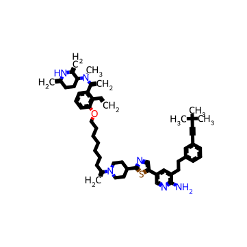 C=Cc1c(OCCCCCCCC(=C)N2CCC(c3ncc(-c4cnc(N)c(CCc5cccc(C#CC(C)(C)C)c5)c4)s3)CC2)cccc1C(=C)N(C)C1CCC(=C)NC1=C